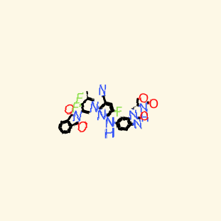 C[C@H]1CN(c2nc(Nc3ccc4c(c3)n(C[C@@H]3COC(=O)N3)c(=O)n4C)c(F)cc2C#N)C[C@@H](N2C(=O)c3ccccc3C2=O)C1(F)F